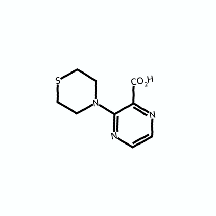 O=C(O)c1nccnc1N1CCSCC1